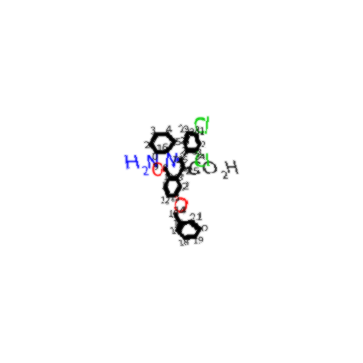 N[C@H]1CCCC[C@@H]1N1C(=O)c2ccc(OCc3ccccc3)cc2[C@@H](C(=O)O)[C@@H]1c1ccc(Cl)cc1Cl